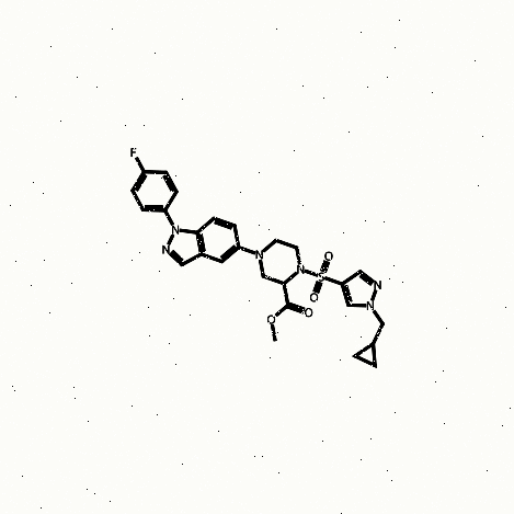 COC(=O)C1CN(c2ccc3c(cnn3-c3ccc(F)cc3)c2)CCN1S(=O)(=O)c1cnn(CC2CC2)c1